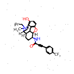 CC(C)C[N+]1(C)CC[C@@]23c4c5ccc(O)c4C[C@@H]1[C@@H]2CC[C@H](NC(=O)C#Cc1ccc(C(F)(F)F)cc1)[C@@H]3O5